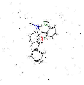 CC1CCC(N(C)C)C(O)(Cc2c(F)cccc2Cl)C1=Cc1ccccc1